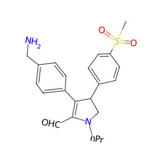 CCCN1CC(c2ccc(S(C)(=O)=O)cc2)C(c2ccc(CN)cc2)=C1C=O